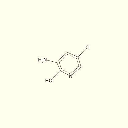 Nc1cc(Cl)cnc1O